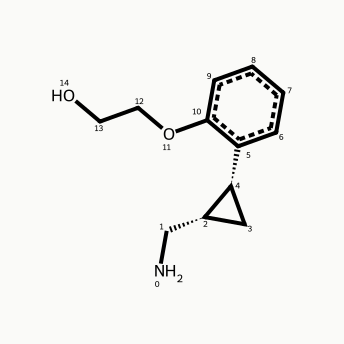 NC[C@H]1C[C@H]1c1ccccc1OCCO